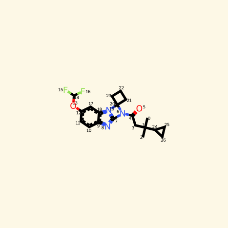 CC(C)(CC(=O)N1c2nc3ccc(OC(F)F)cc3n2C12CCC2)C1CC1